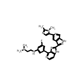 Cc1ncc(-c2cc3c(-c4nc5c(-c6cc(F)cc(NCCN(C)C)c6)nccc5[nH]4)n[nH]c3cn2)n1C